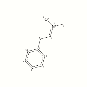 C[N+]([O-])=CCc1ccccc1